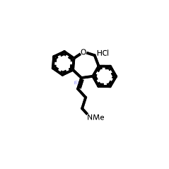 CNCC/C=C1\c2ccccc2COc2ccccc21.Cl